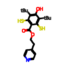 CC(C)(C)c1c(O)c(C(C)(C)C)c(S)c(C(=O)OCCc2ccncc2)c1S